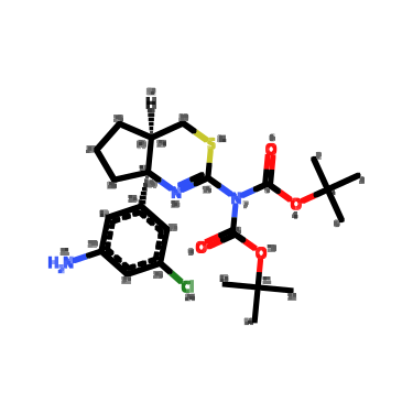 CC(C)(C)OC(=O)N(C(=O)OC(C)(C)C)C1=N[C@@]2(c3cc(N)cc(Cl)c3)CCC[C@H]2CS1